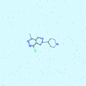 Cc1nnc(Cl)c2cc(C3CCNCC3)ncc12